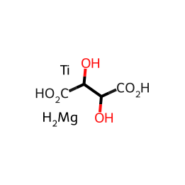 O=C(O)C(O)C(O)C(=O)O.[MgH2].[Ti]